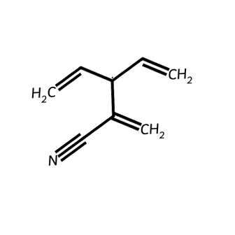 C=C[C](C=C)C(=C)C#N